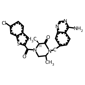 CC1CN(C(=O)c2cc3ccc(Cl)cc3s2)[C@@H](C)C(=O)N1Cc1ccc2c(N)ncnc2c1